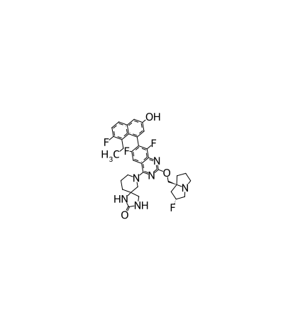 CCc1c(F)ccc2cc(O)cc(-c3c(F)cc4c(N5CCCC6(CNC(=O)N6)C5)nc(OC[C@@]56CCCN5C[C@H](F)C6)nc4c3F)c12